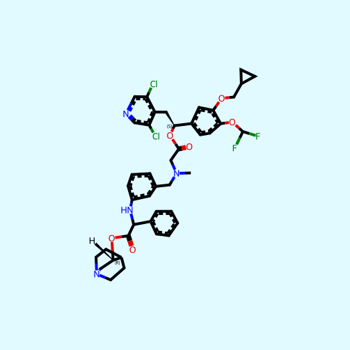 CN(CC(=O)O[C@@H](Cc1c(Cl)cncc1Cl)c1ccc(OC(F)F)c(OCC2CC2)c1)Cc1cccc(NC(C(=O)O[C@H]2CN3CCC2CC3)c2ccccc2)c1